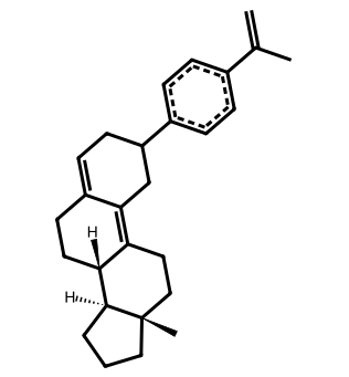 C=C(C)c1ccc(C2CC=C3CC[C@@H]4C(=C3C2)CC[C@]2(C)CCC[C@@H]42)cc1